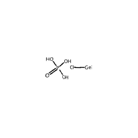 O=P(O)(O)O.[Cl][Ge]